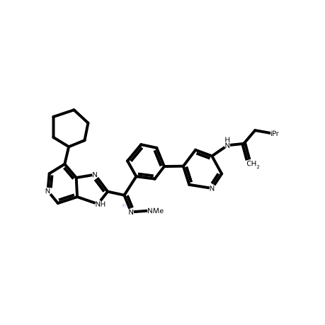 C=C(CC(C)C)Nc1cncc(-c2cccc(/C(=N\NC)c3nc4c(C5CCCCC5)cncc4[nH]3)c2)c1